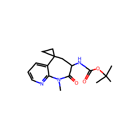 CN1C(=O)C(NC(=O)OC(C)(C)C)CC2(CC2)c2cccnc21